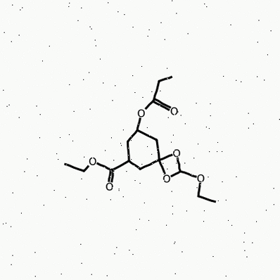 CCOC(=O)C1CC(OC(=O)CC)CC2(C1)OC(OCC)O2